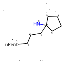 CCCCCCCCC1([NH])CCCC1